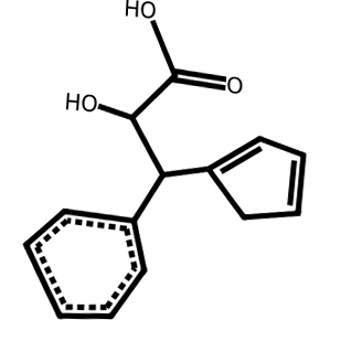 O=C(O)C(O)C(C1=CC=CC1)c1ccccc1